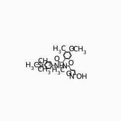 COc1ccc(C(C(=O)Nc2ccc([Si](C)(C)C)cc2)N(C)C(=O)c2cc(O)no2)cc1C